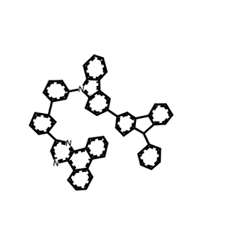 c1ccc(C2c3ccccc3-c3cc(-c4ccc5c(c4)c4ccccc4n5-c4cccc(-c5cccc(-c6cnc7c8ccccc8c8ccccc8c7n6)c5)c4)ccc32)cc1